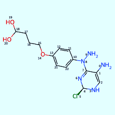 NC1=CN[C@@H](Cl)N=C1N(N)c1ccc(OCCCC(O)O)cc1